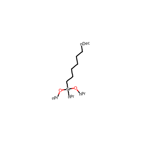 CCCCCCCCCCCCCCCC[Si](CCC)(OCCC)OCCC